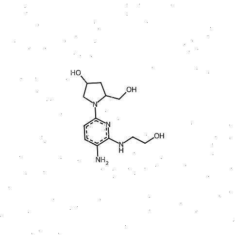 Nc1ccc(N2CC(O)CC2CO)nc1NCCO